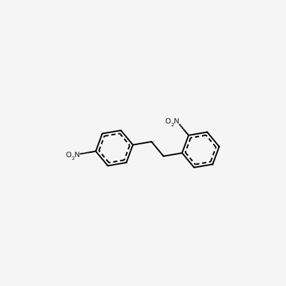 O=[N+]([O-])c1ccc([CH]Cc2ccccc2[N+](=O)[O-])cc1